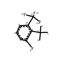 CC(C)(C)c1c(F)cccc1C(F)(F)F